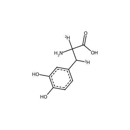 [2H]C(c1ccc(O)c(O)c1)C([2H])(N)C(=O)O